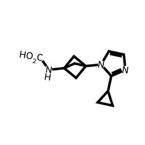 O=C(O)NC12CC(n3ccnc3C3CC3)(C1)C2